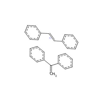 C(=C\c1ccccc1)/c1ccccc1.C=C(c1ccccc1)c1ccccc1